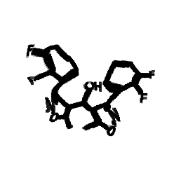 Cc1onc(-c2cccc(F)c2F)c1C(O)c1c(-c2cccc(F)c2F)noc1C